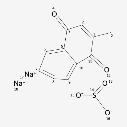 CC1=CC(=O)c2ccccc2C1=O.O=S([O-])[O-].[Na+].[Na+]